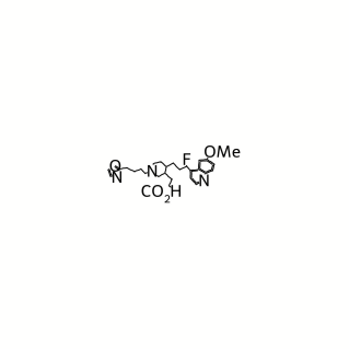 COc1ccc2nccc([C@@H](F)CCC3CCN(CCCCc4ncco4)CC3CCC(=O)O)c2c1